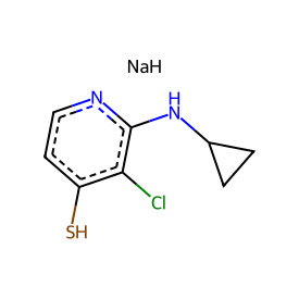 Sc1ccnc(NC2CC2)c1Cl.[NaH]